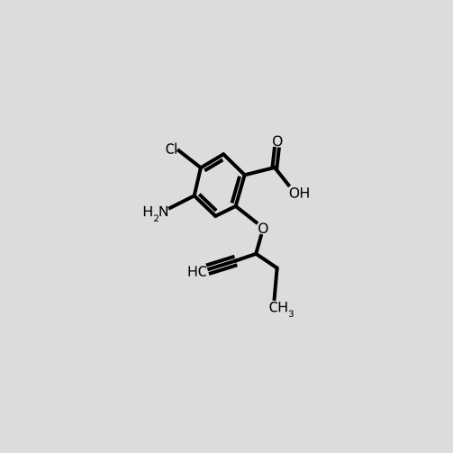 C#CC(CC)Oc1cc(N)c(Cl)cc1C(=O)O